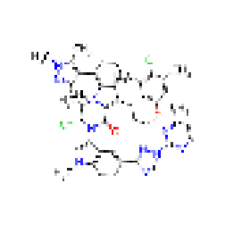 Cc1ccnc(-n2cnc(-c3ccc4c(c3)c(N3C(=O)c5c(CCCOc6cc(C)c(Cl)c(C)c6)c6cccc(-c7c(C)nn(C)c7C)c6n5C(C)[C@H]3Cl)cn4C)n2)n1